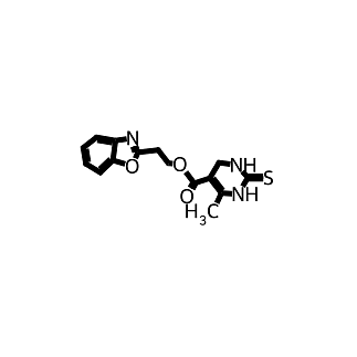 CC1=C(C(=O)OCCc2nc3ccccc3o2)CNC(=S)N1